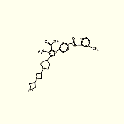 NC(=O)c1c(N)c(C2CCN(C3CN(C4CNC4)C3)CC2)cn1-c1ccc(C(=O)Nc2cc(C(F)(F)F)ccn2)cc1